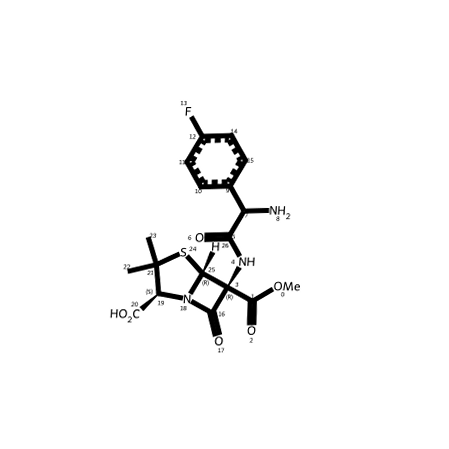 COC(=O)[C@]1(NC(=O)C(N)c2ccc(F)cc2)C(=O)N2[C@@H](C(=O)O)C(C)(C)S[C@@H]21